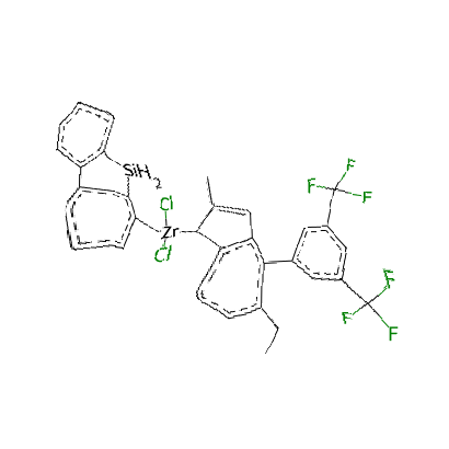 CCc1ccc2c(c1-c1cc(C(F)(F)F)cc(C(F)(F)F)c1)C=C(C)[CH]2[Zr]([Cl])([Cl])[c]1cccc2c1[SiH2]c1ccccc1-2